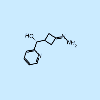 NN=C1CC([C@@H](O)c2ccccn2)C1